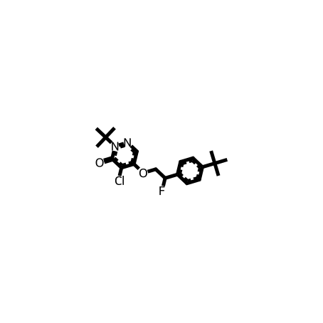 CC(C)(C)c1ccc(C(F)COc2cnn(C(C)(C)C)c(=O)c2Cl)cc1